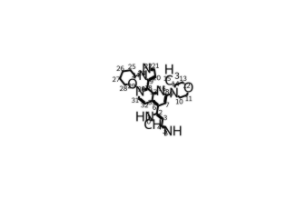 CN/C(=C\C=N)c1cc(N2CCOC[C@H]2C)nc2c(-c3ccnn3[C@H]3CCCCO3)nccc12